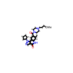 COCCCN1CCN(C(=O)c2cc3c(cc2C)[nH]c(=O)c2cnn(C4CCCC4)c23)CC1